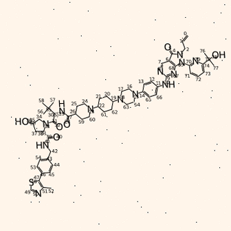 C=CCn1c(=O)c2cnc(Nc3ccc(N4CCN(C5CCC(N6CCC(C(=O)N[C@H](C(=O)N7C[C@H](O)C[C@H]7C(=O)NCc7ccc(-c8scnc8C)cc7)C(C)(C)C)CC6)CC5)CC4)cc3)nc2n1-c1cccc(C(C)(C)O)n1